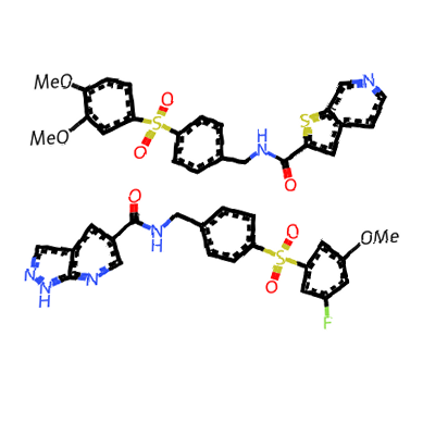 COc1cc(F)cc(S(=O)(=O)c2ccc(CNC(=O)c3cnc4[nH]ncc4c3)cc2)c1.COc1ccc(S(=O)(=O)c2ccc(CNC(=O)c3cc4ccncc4s3)cc2)cc1OC